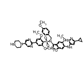 COc1ccc(CN(c2noc3cc(Nc4cc(C5CC5)n[nH]4)c(OC)cc23)S(=O)(=O)c2c(OC)cc(-c3ncc(N4CCNCC4)cn3)cc2OC)cc1